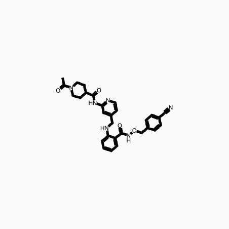 CC(=O)N1CCC(C(=O)Nc2cc(CNc3ccccc3C(=O)NOCc3ccc(C#N)cc3)ccn2)CC1